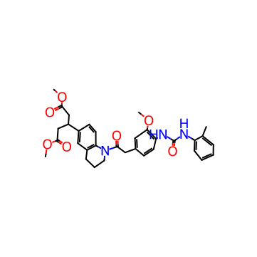 COC(=O)CC(CC(=O)OC)c1ccc2c(c1)CCCN2C(=O)Cc1ccc(NC(=O)Nc2ccccc2C)c(OC)c1